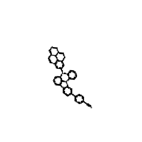 N#Cc1ccc(-c2ccc3c(c2)B2c4ccccc4N(c4cc5c6c(c4)CC=C4C=CC=C(C=C5)C46)c4cccc-3c42)cc1